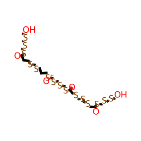 O=C(CCSCSCCC[S+]([O-])CSCSCSC(=O)CSCSCSCC(=O)SCSCSCO)SCSCSCO